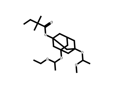 CCOC(C)OC12CC3CC(OC(=O)C(C)(C)CC)(CC(OC(C)OC)(C3)C1)C2